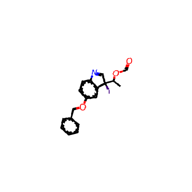 CC(OC=O)C1(I)C=Nc2ccc(OCc3ccccc3)cc21